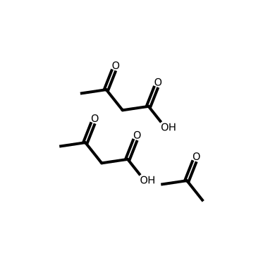 CC(=O)CC(=O)O.CC(=O)CC(=O)O.CC(C)=O